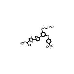 COC[C@H](C)Oc1cc(Oc2ccc(S(C)(=O)=O)cc2)cc(-c2ccc(-c3nc(C(O)CO)cs3)[nH]2)c1